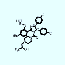 CCOc1cc(C(C)(C)C)ccc1C1=N[C@@H](c2ccc(Cl)cc2)[C@@H](c2ccc(Cl)cc2)N1C(=O)N1CCN(CC(O)C(F)(F)F)CC1.Cl